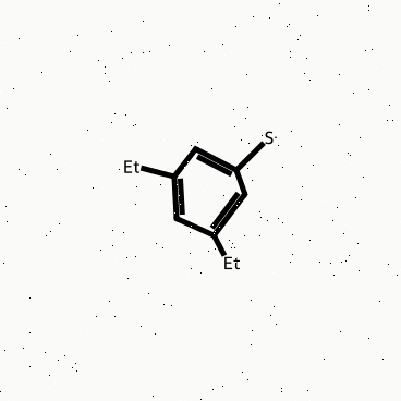 CCc1cc([S])cc(CC)c1